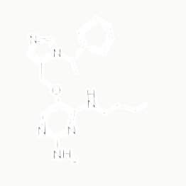 CCCCNc1nc(N)ncc1OCc1cncn1C(C)c1ccccc1